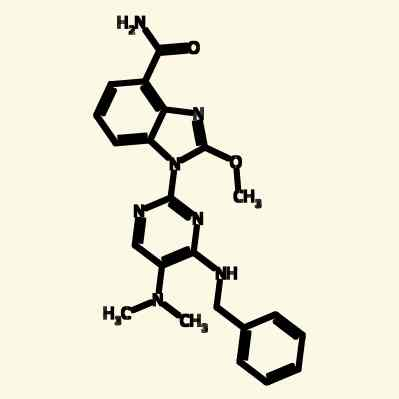 COc1nc2c(C(N)=O)cccc2n1-c1ncc(N(C)C)c(NCc2ccccc2)n1